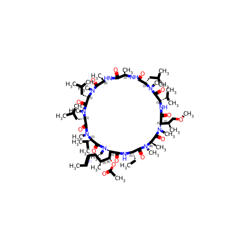 C/C=C/C[C@@H](C)[C@@H](OC(C)=O)[C@H]1C(=O)N[C@@H](CC)C(=O)N(C)[C@H](C)C(=O)N(C)[C@@H]([C@H](C)COC)C(=O)N[C@@H](C(C)C)C(=O)N(C)[C@@H](CC(C)C)C(=O)N[C@@H](C)C(=O)N[C@H](C)C(=O)N(C)[C@@H](CC(C)C)C(=O)N(C)[C@@H](CC(C)C)C(=O)N(C)[C@@H](C(C)C)C(=O)N1C